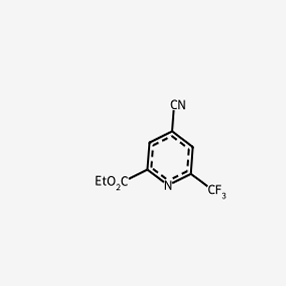 CCOC(=O)c1cc(C#N)cc(C(F)(F)F)n1